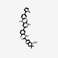 Cn1cccc1-c1ccc(Nc2cc(-c3ccc(F)c(NC(=O)c4cc5c(s4)CC(C)(C)[C@H]5O)c3)n[nH]c2=O)nc1